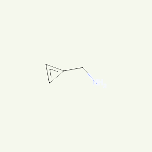 NCC1=C=C1